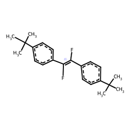 CC(C)(C)c1ccc(/C(F)=C(\F)c2ccc(C(C)(C)C)cc2)cc1